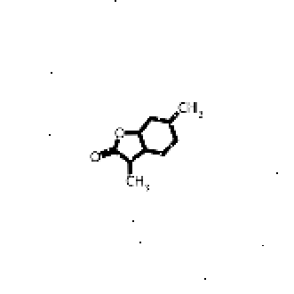 CC1CCC2C(C1)OC(=O)C2C